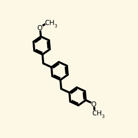 COc1ccc(Cc2cccc(Cc3ccc(OC)cc3)c2)cc1